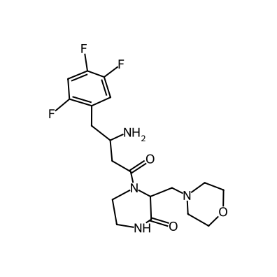 NC(CC(=O)N1CCNC(=O)C1CN1CCOCC1)Cc1cc(F)c(F)cc1F